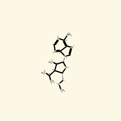 COC[C@H]1O[C@@H](n2cnc3c(N)ncnc32)C(C)C1C(C)C